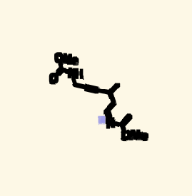 C=C(/N=C\CC(C)C#CCNC(=O)OC)OC